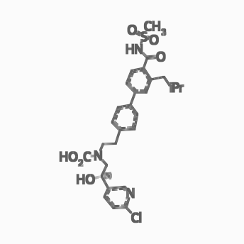 CC(C)Cc1cc(-c2ccc(CCN(C[C@@H](O)c3ccc(Cl)nc3)C(=O)O)cc2)ccc1C(=O)NS(C)(=O)=O